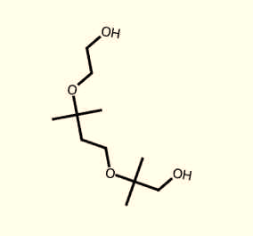 CC(C)(CO)OCCC(C)(C)OCCO